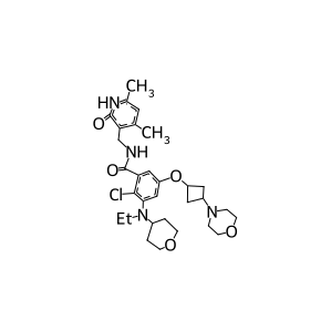 CCN(c1cc(OC2CC(N3CCOCC3)C2)cc(C(=O)NCc2c(C)cc(C)[nH]c2=O)c1Cl)C1CCOCC1